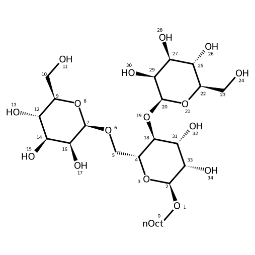 CCCCCCCCO[C@H]1O[C@H](CO[C@@H]2O[C@H](CO)[C@@H](O)[C@H](O)[C@@H]2O)[C@@H](O[C@@H]2O[C@H](CO)[C@@H](O)[C@H](O)[C@@H]2O)[C@H](O)[C@@H]1O